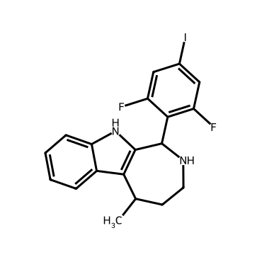 CC1CCNC(c2c(F)cc(I)cc2F)c2[nH]c3ccccc3c21